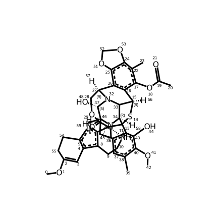 COC1=Cc2c([nH]c3c2CCN[C@]32CS[C@@H]3c4c(OC(C)=O)c(C)c5c(c4[C@H](COC2=O)N2C3[C@H]3c4c(cc(C)c(OC)c4O)C[C@H]([C@@H]2O)N3C)OCO5)CC1